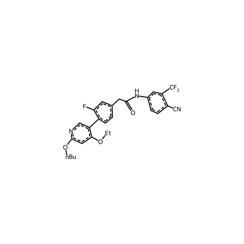 CCCCOc1cc(OCC)c(-c2ccc(CC(=O)Nc3ccc(C#N)c(C(F)(F)F)c3)cc2F)cn1